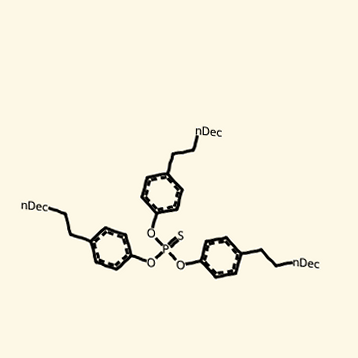 CCCCCCCCCCCCc1ccc(OP(=S)(Oc2ccc(CCCCCCCCCCCC)cc2)Oc2ccc(CCCCCCCCCCCC)cc2)cc1